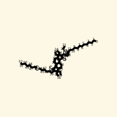 CCCCCCCCCCCCc1cc2sc3c(c2n1CC)C(CC)(CC)C1=C3C2CC=C3C(=C2C=C1)C1=C(CC(CCCCCCCCCCCC)S1)C3(CC)CC